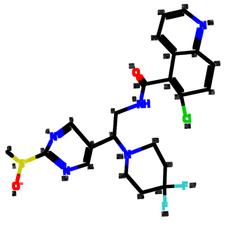 C[S+]([O-])c1ncc(C(CNC(=O)c2c(Cl)ccc3ncccc23)N2CCC(F)(F)CC2)cn1